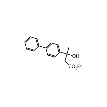 CCOC(=O)CC(C)(O)c1ccc(-c2ccccc2)cc1